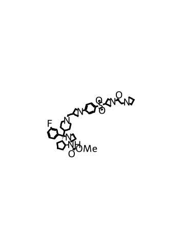 COC(=O)N[C@H]1CCC[C@@H]1C(c1cccc(F)c1)(C1CCN(CC2CN(c3ccc(S(=O)(=O)C4CN(C(=O)CN5CCC5)C4)cc3)C2)CC1)N1CCC1